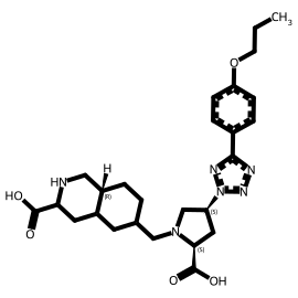 CCCOc1ccc(-c2nnn([C@H]3C[C@@H](C(=O)O)N(CC4CC[C@H]5CNC(C(=O)O)CC5C4)C3)n2)cc1